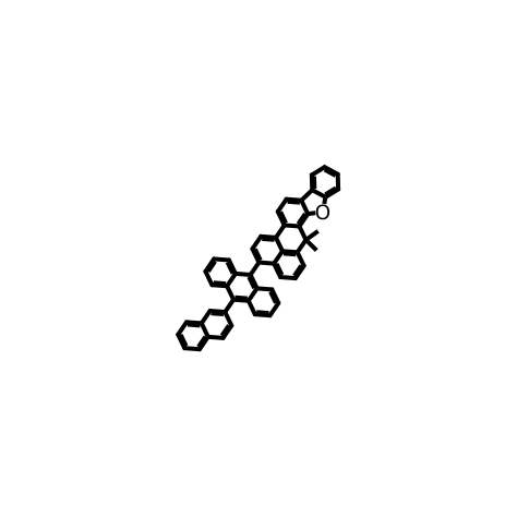 CC1(C)c2c(ccc3c2oc2ccccc23)-c2ccc(-c3c4ccccc4c(-c4ccc5ccccc5c4)c4ccccc34)c3cccc1c23